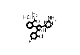 Cl.NC(=O)c1ccccc1-c1cc(-c2ccnc(N)n2)[nH]c1-c1ccc(F)cc1Cl